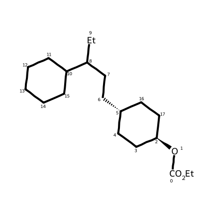 CCOC(=O)O[C@H]1CC[C@H](CCC(CC)C2CCCCC2)CC1